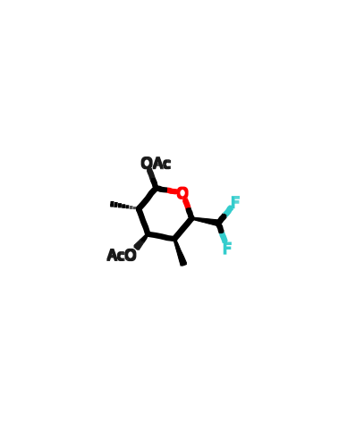 CC(=O)OC1O[C@@H](C(F)F)[C@@H](C)[C@@H](OC(C)=O)[C@@H]1C